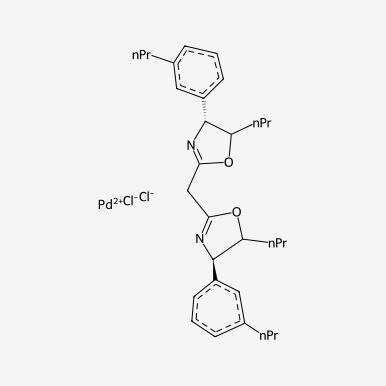 CCCc1cccc([C@H]2N=C(CC3=N[C@H](c4cccc(CCC)c4)C(CCC)O3)OC2CCC)c1.[Cl-].[Cl-].[Pd+2]